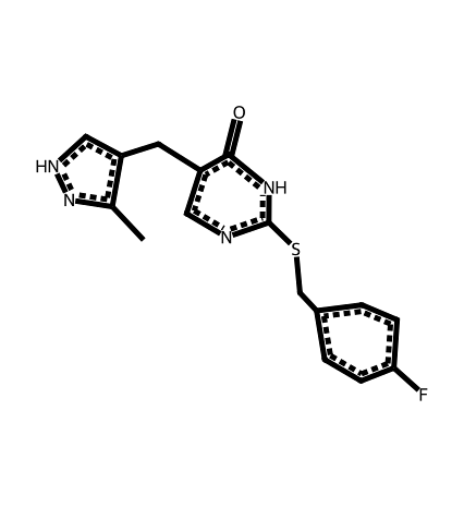 Cc1n[nH]cc1Cc1cnc(SCc2ccc(F)cc2)[nH]c1=O